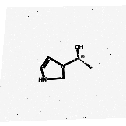 C[C@@H](O)N1C=CNC1